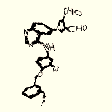 O=Cc1cn(-c2ccc3ncnc(Nc4ccc(OCc5cccc(F)c5)c(Cl)c4)c3c2)cc1C=O